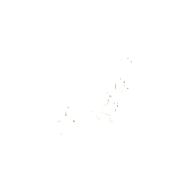 Cc1nn(C2CCN(C)CC2)cc1Nc1cc(NCCCN2CCCCOC2=O)c(Cl)cn1